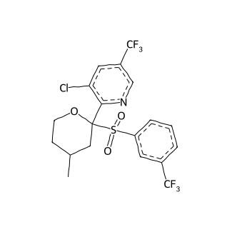 CC1CCOC(c2ncc(C(F)(F)F)cc2Cl)(S(=O)(=O)c2cccc(C(F)(F)F)c2)C1